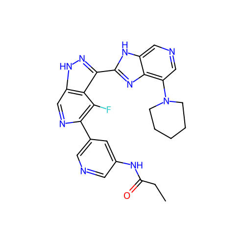 CCC(=O)Nc1cncc(-c2ncc3[nH]nc(-c4nc5c(N6CCCCC6)cncc5[nH]4)c3c2F)c1